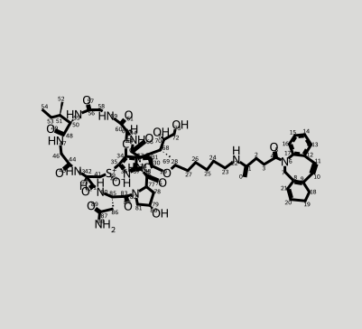 C=C(CCC(=O)N1CC2=C(C#Cc3ccccc31)CCC=C2)NCCCCCCOc1ccc2c3c([nH]c2c1)[S+]([O-])C[C@H]1NC(=O)CNC(=O)[C@H]([C@H](C)CC)NC(=O)CNC(=O)[C@H](C3)NC(=O)[C@H]([C@@H](C)[C@@H](O)CO)NC(=O)C2C[C@@H](O)CN2C(=O)[C@H](CC(N)=O)NC1=O